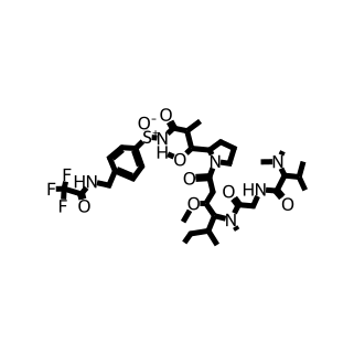 CCC(C)C(C(CC(=O)N1CCCC1C(OC)C(C)C(=O)N[S+]([O-])c1ccc(CNC(=O)C(F)(F)F)cc1)OC)N(C)C(=O)CNC(=O)C(C(C)C)N(C)C